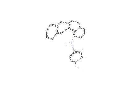 Nc1ccc(Nc2cccc3ccc4cc5ccccc5cc4c23)cc1